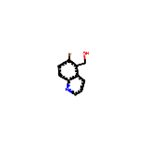 OCc1c(Br)ccc2ncccc12